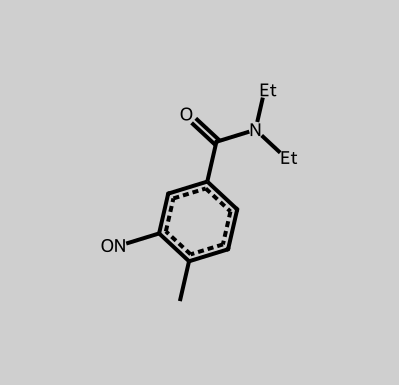 CCN(CC)C(=O)c1ccc(C)c(N=O)c1